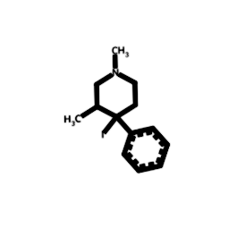 CC1CN(C)CCC1(I)c1ccccc1